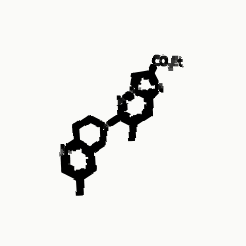 CCOC(=O)c1cn2nc(N3CCc4ncc(C)cc4C3)c(C)cc2n1